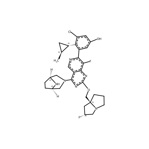 C[C@H]1C[C@@H]1c1c(Cl)cc(O)cc1-c1ncc2c(N3C[C@H]4CC[C@@H](C3)N4)nc(OC[C@@]34CCCN3C[C@H](F)C4)nc2c1F